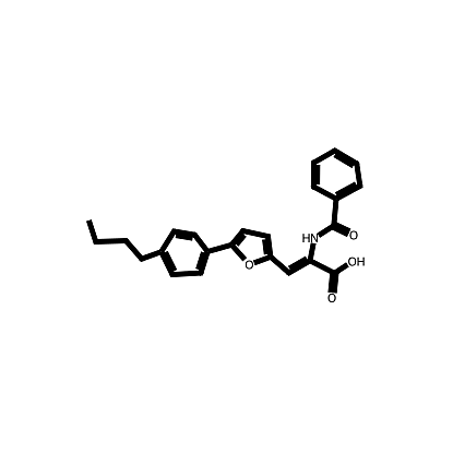 CCCCc1ccc(-c2ccc(/C=C(\NC(=O)c3ccccc3)C(=O)O)o2)cc1